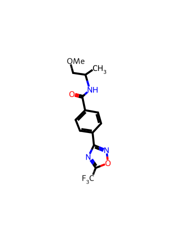 COCC(C)NC(=O)c1ccc(-c2noc(C(F)(F)F)n2)cc1